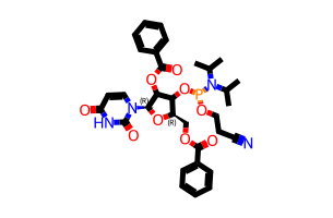 CC(C)N(C(C)C)P(OCCC#N)OC1C(OC(=O)c2ccccc2)[C@H](n2ccc(=O)[nH]c2=O)O[C@@H]1COC(=O)c1ccccc1